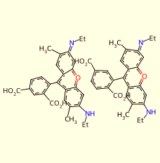 CCN=c1cc2oc3cc(NCC)c(C)cc3c(-c3cc(C(=O)O)ccc3C(=O)O)c-2cc1C.CCN=c1cc2oc3cc(NCC)c(C)cc3c(-c3ccc(C(=O)O)cc3C(=O)O)c-2cc1C